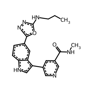 CCCNc1nnc(-c2ccc3[nH]cc(-c4cncc(C(=O)NC)c4)c3c2)o1